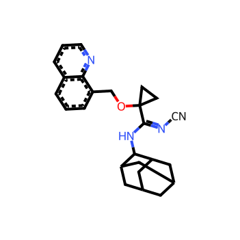 N#CN=C(NC1C2CC3CC(C2)CC1C3)C1(OCc2cccc3cccnc23)CC1